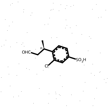 C[C@H](CC=O)c1ccc(S(=O)(=O)O)cc1Cl